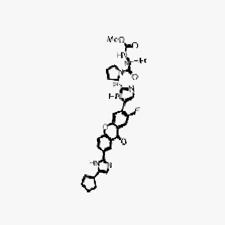 COC(=O)N[C@H](C(=O)N1CCC[C@H]1c1ncc(-c2cc3oc4ccc(-c5ncc(C6CCCC6)[nH]5)cc4c(=O)c3cc2F)[nH]1)C(C)C